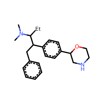 CCC(C(Cc1ccccc1)c1ccc(C2CNCCO2)cc1)N(C)C